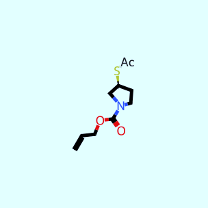 C=CCOC(=O)N1CC[C@H](SC(C)=O)C1